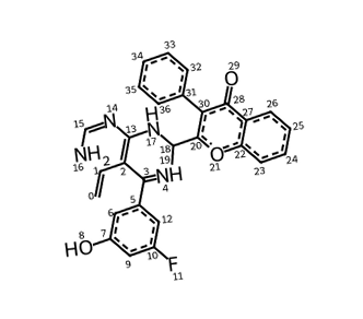 C=C/C(C(=N)c1cc(O)cc(F)c1)=C(\N=C/N)NC(C)c1oc2ccccc2c(=O)c1-c1ccccc1